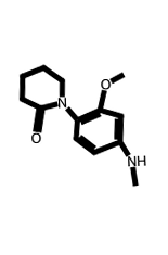 CNc1ccc(N2CCCCC2=O)c(OC)c1